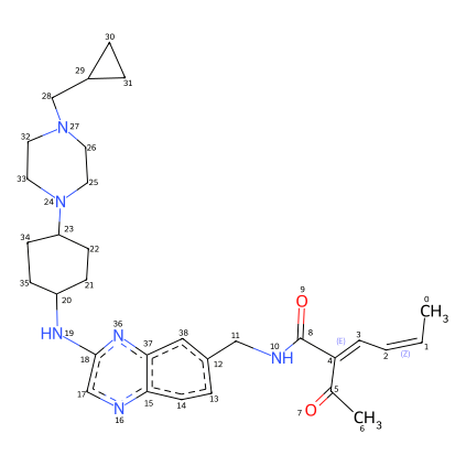 C/C=C\C=C(/C(C)=O)C(=O)NCc1ccc2ncc(NC3CCC(N4CCN(CC5CC5)CC4)CC3)nc2c1